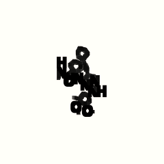 CNC(=O)c1ccccc1Nc1nc(Nc2cc(C)c(OC)c(OC)c2)ncc1C#Cc1ccccc1